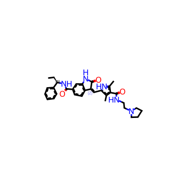 CC[C@@H](NC(=O)c1ccc2c(c1)NC(=O)/C2=C\c1[nH]c(C)c(C(=O)NCCN2CCCC2)c1C)c1ccccc1